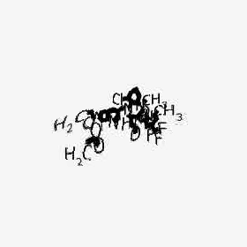 C=CC(=O)OC[C@H]1c2ncc(CN3C[C@H]4CC(=O)N(c5cc(C(F)(F)F)cc(C)n5)[C@@H]4C(=O)N(C)c4cccc(Cl)c43)cc2CN1C(=O)C=C